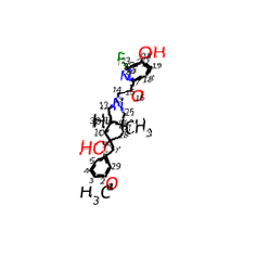 COc1cccc(C[C@]2(O)C[C@H]3CN(CC(=O)c4ccc(O)c(F)n4)C[C@@]3(C)C2)c1